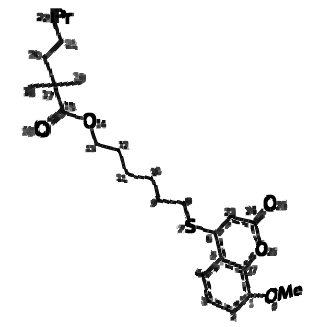 COc1cccc2c(SCCCCCCOC(=O)C(C)(C)CCC(C)C)cc(=O)oc12